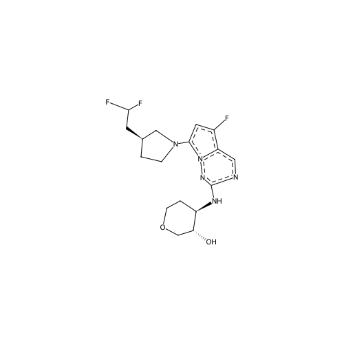 O[C@@H]1COCC[C@H]1Nc1ncc2c(F)cc(N3CC[C@@H](CC(F)F)C3)n2n1